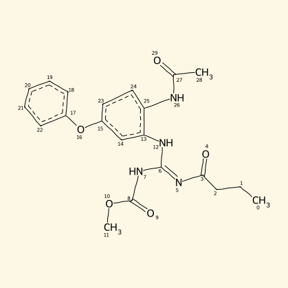 CCCC(=O)/N=C(/NC(=O)OC)Nc1cc(Oc2ccccc2)ccc1NC(C)=O